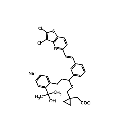 CC(C)(O)c1ccccc1CCC(SCC1(CC(=O)[O-])CC1)c1cccc(/C=C/c2ccc3sc(Cl)c(Cl)c3n2)c1.[Na+]